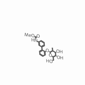 COC(=O)Nc1cccc(-c2ccccc2O[C@@H]2OC(CO)[C@H](O)[C@H](O)C2C)c1